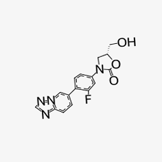 O=C1O[C@@H](CO)CN1c1ccc(-c2ccc3ncnn3c2)c(F)c1